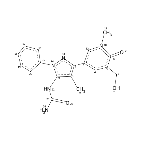 Cc1c(-c2cc(CO)c(=O)n(C)c2)nn(-c2ccccc2)c1NC(N)=O